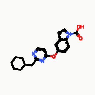 O=C(O)n1ccc2cc(Oc3ccnc(CC4CCCCC4)n3)ccc21